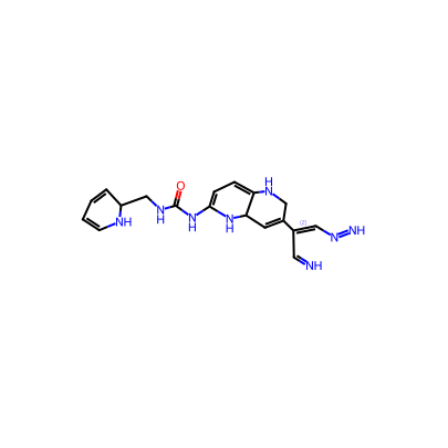 N=C/C(=C\N=N)C1=CC2NC(NC(=O)NCC3C=CC=CN3)=CC=C2NC1